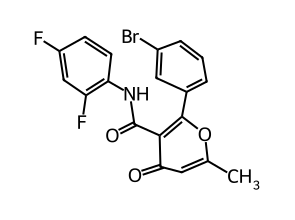 Cc1cc(=O)c(C(=O)Nc2ccc(F)cc2F)c(-c2cccc(Br)c2)o1